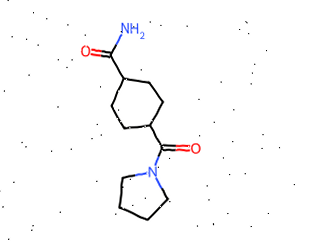 NC(=O)C1CCC(C(=O)N2CCCC2)CC1